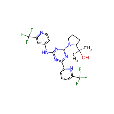 CC(C)(O)C1CCCN1c1nc(Nc2ccnc(C(F)(F)F)c2)nc(-c2cccc(C(F)(F)F)n2)n1